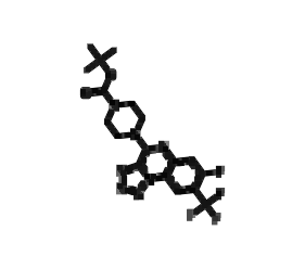 CC(C)(C)OC(=O)N1CCN(c2nc3cc(F)c(C(F)(F)F)cc3n3nnnc23)CC1